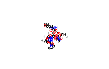 COc1ccc(C2=CN3C(=O)c4cc(OC)c(OCCCOc5cc6c(cc5OC)C(=O)N5CC7(CC7)C[C@H]5C(O)N6C(=O)OCc5ccc(NC(=O)[C@H](C)NC(=O)[C@@H](NC(=O)CCC(=O)N6Cc7ccccc7C#Cc7ccccc76)C(C)C)cc5)cc4NC[C@@H]3C2)cc1